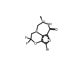 C[C@@H]1CN2CC(F)(F)Oc3c(Br)sc(c32)C(=O)N1